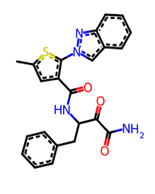 Cc1cc(C(=O)NC(Cc2ccccc2)C(=O)C(N)=O)c(-n2cc3ccccc3n2)s1